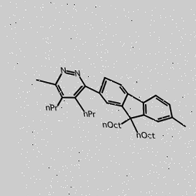 CCCCCCCCC1(CCCCCCCC)c2cc(C)ccc2-c2ccc(-c3nnc(C)c(CCC)c3CCC)cc21